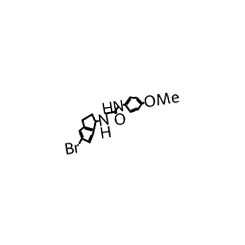 COc1ccc(NC(=O)CNC2CCc3cc(Br)ccc32)cc1